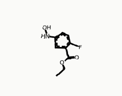 CCOC(=O)c1cc(NO)ccc1F